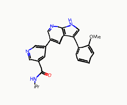 COc1ccccc1-c1c[nH]c2ncc(-c3cncc(C(=O)NC(C)C)c3)cc12